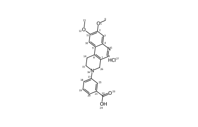 COc1cc2ncc3c(c2cc1OC)CCN(c1cccc(C(=O)O)c1)C3.Cl